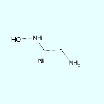 NCCNO.[Ni]